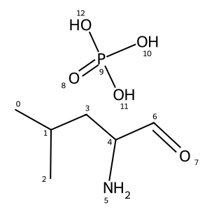 CC(C)CC(N)C=O.O=P(O)(O)O